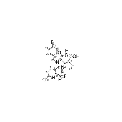 CCN1c2nc(-c3ccc(Cl)nc3C(F)(F)F)n(Cc3ccc(F)cc3)c2C(=O)NC1O